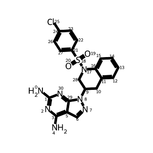 Nc1nc(N)c2cnn(C3Cc4ccccc4N(S(=O)(=O)c4ccc(Cl)cc4)C3)c2n1